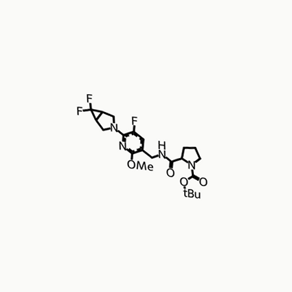 COc1nc(N2CC3C(C2)C3(F)F)c(F)cc1CNC(=O)C1CCCN1C(=O)OC(C)(C)C